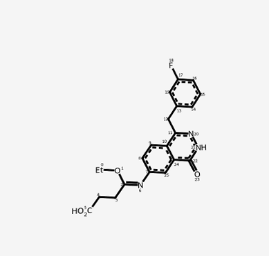 CCOC(CCC(=O)O)=Nc1ccc2c(Cc3cccc(F)c3)n[nH]c(=O)c2c1